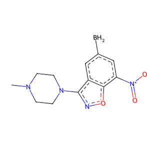 Bc1cc([N+](=O)[O-])c2onc(N3CCN(C)CC3)c2c1